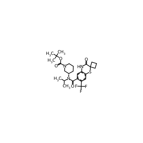 CC(C)N(C(=O)c1cc2c(cc1C(F)(F)F)SC1(CCC1)C(=O)N2)[C@@H]1CCCN(C(=O)OC(C)(C)C)C1